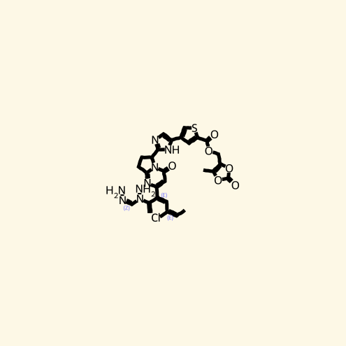 C=C(/C(=C\C(Cl)=C/C)c1cc(=O)n2c(n1)CCC2c1ncc(-c2csc(C(=O)OCc3oc(=O)oc3C)c2)[nH]1)N(N)/C=N\N